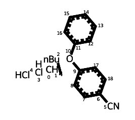 C.CCCCC.Cl.Cl.N#Cc1ccc(Oc2ccccc2)cc1